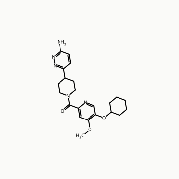 COc1cc(C(=O)N2CCC(c3ccc(N)nn3)CC2)ncc1OC1CCCCC1